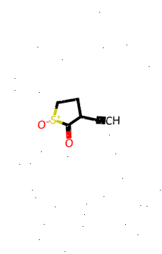 C#CC1CC[S+]([O-])C1=O